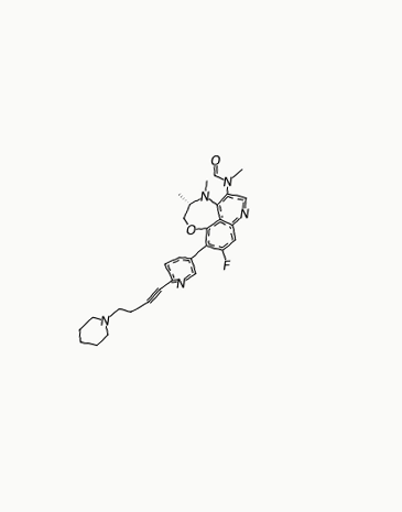 C[C@H]1COc2c(-c3ccc(C#CCCN4CCCCC4)nc3)c(F)cc3ncc(N(C)C=O)c(c23)N1C